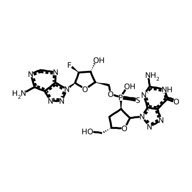 Nc1nc2c(nnn2C2O[C@H](CO)C[C@H]2P(O)(=S)OC[C@H]2O[C@@H](n3nnc4c(N)ncnc43)[C@@H](F)[C@@H]2O)c(=O)[nH]1